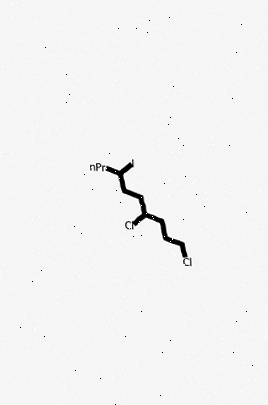 CCCC(I)CCC(Cl)CCCCl